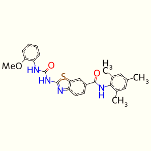 COc1ccccc1NC(=O)Nc1nc2ccc(C(=O)Nc3c(C)cc(C)cc3C)cc2s1